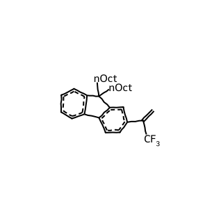 C=C(c1ccc2c(c1)C(CCCCCCCC)(CCCCCCCC)c1ccccc1-2)C(F)(F)F